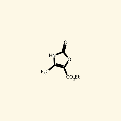 CCOC(=O)c1oc(=O)[nH]c1C(F)(F)F